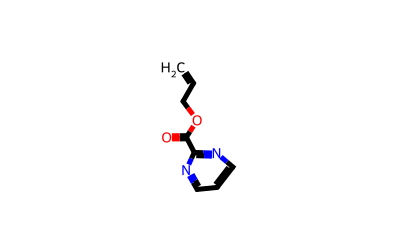 C=CCOC(=O)c1ncccn1